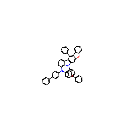 c1ccc(-c2ccc(N(c3ccc(-c4ccccc4)cc3)c3cccc4c5c(-c6ccccc6)c6c(cc5n(-c5ccccc5)c34)oc3ccccc36)cc2)cc1